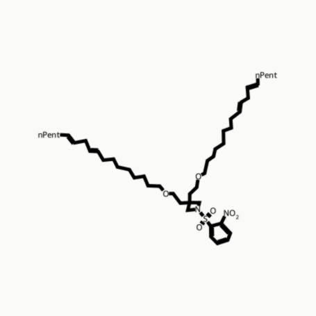 CCCCCC=CCC=CCCCCCCCCOCCC1(CCOCCCCCCCCC=CCC=CCCCCC)CN(S(=O)(=O)c2ccccc2[N+](=O)[O-])C1